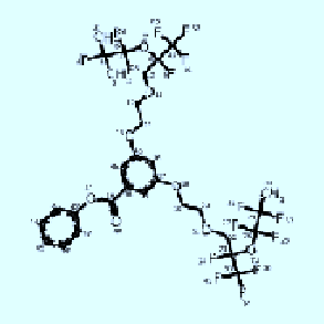 CC(C)(F)C(F)(F)OC(F)(COCCOc1cc(OCCOCC(F)(OC(F)(F)C(C)(F)F)C(F)(F)F)cc(C(=O)Oc2ccccc2)c1)C(F)(F)F